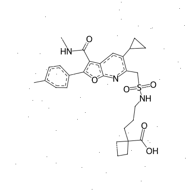 CNC(=O)c1c(-c2ccc(C)cc2)oc2nc(CS(=O)(=O)NCCCC3(C(=O)O)CCC3)c(C3CC3)cc12